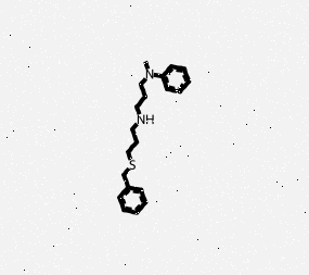 CN(CCCNCCCSCc1ccccc1)c1ccccc1